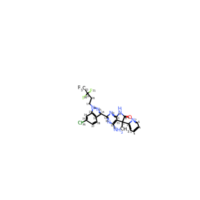 CC1(c2ccccn2)C(=O)Nc2nc(-c3nn(CCC(F)(F)C(F)(F)F)c4cc(Cl)ccc34)nc(N)c21